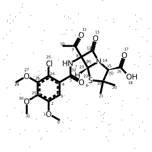 COc1cc(C(=O)NC2(C(C)=O)C(=O)N3[C@@H](C(=O)O)C(C)(C)S[C@@H]32)c(Cl)c(OC)c1OC